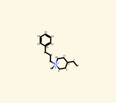 CCC1CC[N+](C)(CCCc2ccccc2)CC1